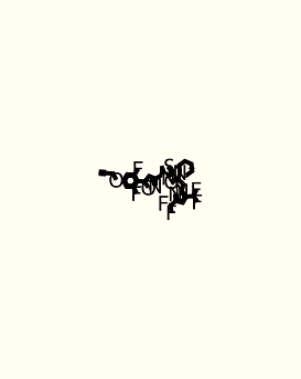 C#CCOc1cc(F)c(C2CC(c3csc([N+]4(C(=O)Cn5nc(C(F)F)cc5C(F)F)CCCCC4)n3)=NO2)c(F)c1